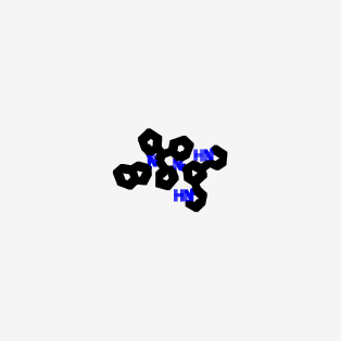 C1=CCNC(c2cc(C3C=CC=CN3)cc(N3c4ccccc4-c4c(n(-c5ccc6ccccc6c5)c5ccccc45)-c4ccccc43)c2)=C1